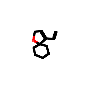 C=CC1=CCOC12CCCCC2